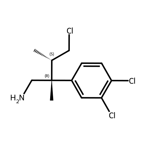 C[C@H](CCl)[C@@](C)(CN)c1ccc(Cl)c(Cl)c1